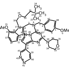 COc1ccc(CN(Cc2nc3cccc(OC)c3n2COCCS(C)(C)C)c2nc(N3CCOCC3)nc3c(-c4ccnnc4)cnn23)cc1